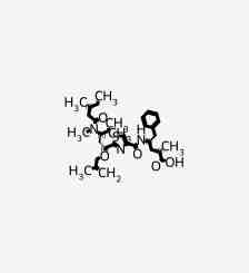 C=C(C)CO[C@H](C[C@H](C(C)C)N(C)C(=O)C[C@@H](C)CC)c1nc(C(=O)N[C@@H](Cc2ccccc2)C[C@H](C)C(=O)O)cs1